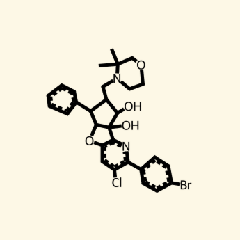 CC1(C)COCCN1CC1C(c2ccccc2)C2Oc3cc(Cl)c(-c4ccc(Br)cc4)nc3C2(O)C1O